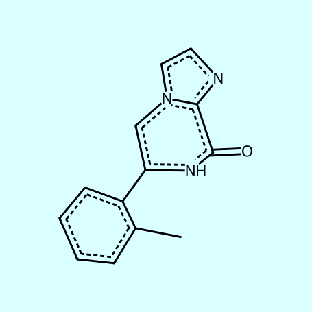 Cc1ccccc1-c1cn2ccnc2c(=O)[nH]1